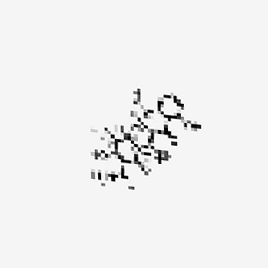 NC(=O)C1=C(O)[C@@H](N)[C@@H]2C[C@H]3C(=C(O)[C@]2(O)C1=O)C(=O)c1c(O)cccc1[C@@H]3P